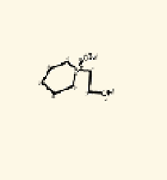 CC(C)(C)[N+]1(CCO)CCCCC1